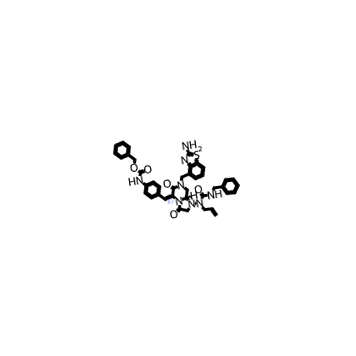 C=CCN(C(=O)NCc1ccccc1)N1CC(=O)N2/C(=C/c3ccc(NC(=O)OCc4ccccc4)cc3)C(=O)N(Cc3cccc4sc(N)nc34)C[C@@H]21